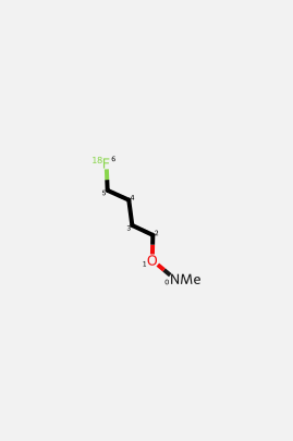 CNOCCCC[18F]